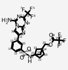 Nc1nc(C(F)(F)F)nc2nc(-c3cccc(S(=O)(=O)NC45CCC(COC(=O)C(F)(F)F)(C4)C5)c3)cn12